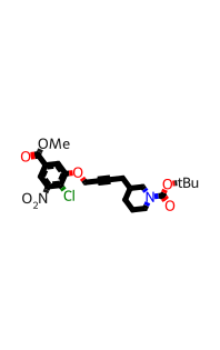 COC(=O)c1cc(OCC#CCC2CCCN(C(=O)OC(C)(C)C)C2)c(Cl)c([N+](=O)[O-])c1